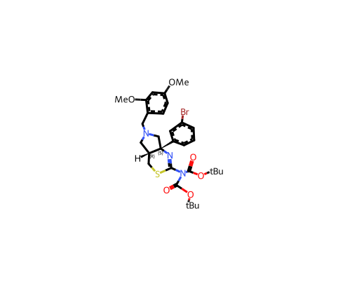 COc1ccc(CN2C[C@H]3CSC(N(C(=O)OC(C)(C)C)C(=O)OC(C)(C)C)=N[C@@]3(c3cccc(Br)c3)C2)c(OC)c1